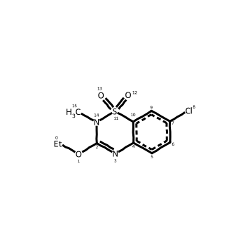 CCOC1=Nc2ccc(Cl)cc2S(=O)(=O)N1C